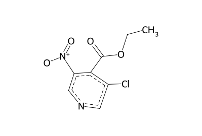 CCOC(=O)c1c(Cl)cncc1[N+](=O)[O-]